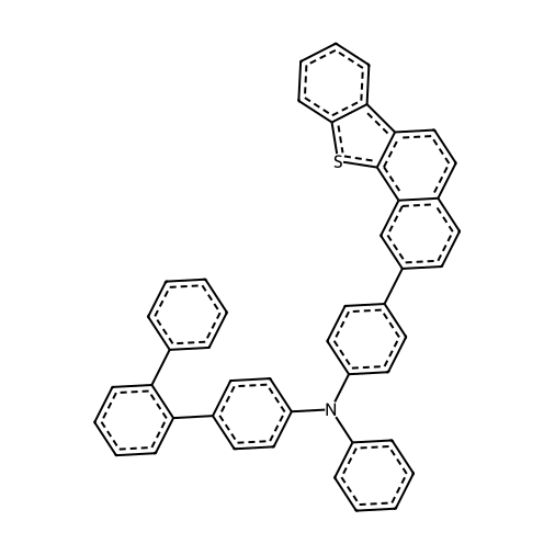 c1ccc(-c2ccccc2-c2ccc(N(c3ccccc3)c3ccc(-c4ccc5ccc6c7ccccc7sc6c5c4)cc3)cc2)cc1